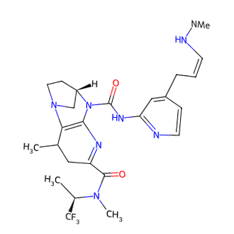 CNN/C=C\Cc1ccnc(NC(=O)N2C3=C(C(C)CC(C(=O)N(C)[C@H](C)C(F)(F)F)=N3)N3CC[C@H]2C3)c1